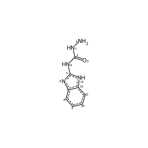 NNC(=O)Nc1nc2ccccc2[nH]1